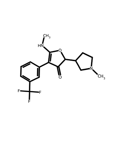 CNC1=C(c2cccc(C(F)(F)F)c2)C(=O)C(C2CCN(C)C2)O1